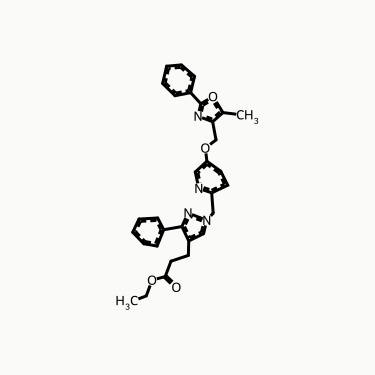 CCOC(=O)CCc1cn(Cc2ccc(OCc3nc(-c4ccccc4)oc3C)cn2)nc1-c1ccccc1